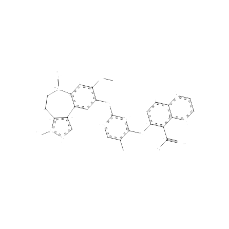 CCOc1cc2c(cc1Nc1ncc(Br)c(Nc3ccc4nccnc4c3C(N)=O)n1)-c1cnn(C)c1CCN2C(C)C